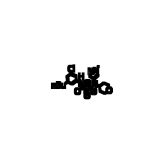 CCCCc1cc(Cl)cc(NC(=O)[NH+]([O-])S(=O)(=O)N(c2cnn(C)c2)C2CCOCC2)c1